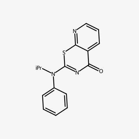 CC(C)N(c1ccccc1)c1nc(=O)c2cccnc2s1